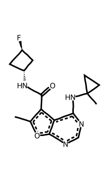 Cc1oc2ncnc(NC3(C)CC3)c2c1C(=O)N[C@H]1C[C@H](F)C1